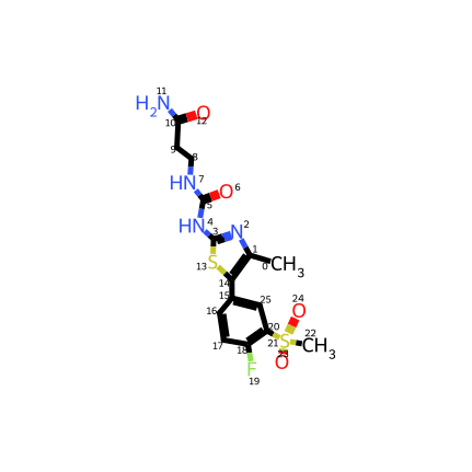 Cc1nc(NC(=O)NCCC(N)=O)sc1-c1ccc(F)c(S(C)(=O)=O)c1